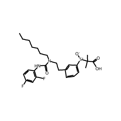 CCCCCCCN(CCc1cccc([S+]([O-])C(C)(C)C(=O)O)c1)C(=O)Nc1ccc(F)cc1F